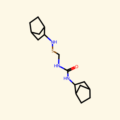 O=C(NCSNC1CC2CCC1C2)NC1CC2CCC1C2